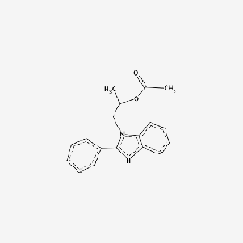 CC(=O)OC(C)Cn1c(-c2ccccc2)nc2ccccc21